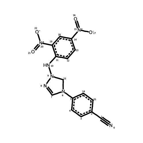 N#Cc1ccc(N2C=NN(Nc3ccc([N+](=O)[O-])cc3[N+](=O)[O-])C2)cc1